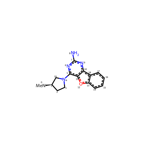 CN[C@@H]1CCN(c2nc(N)nc3c2oc2ccccc23)C1